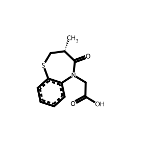 C[C@H]1CSc2ccccc2N(CC(=O)O)C1=O